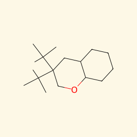 CC(C)(C)C1(C(C)(C)C)COC2CCCCC2C1